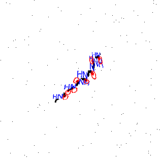 CCCNC(=O)COCC(=O)NCC(=O)NCC(=O)NCCC(=O)NCC(=O)NCC(=O)NC